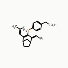 CC(C)=CC1=C(Sc2ccc(CC(=O)O)cc2)/C(=C/C(C)C)C2CCC1C2